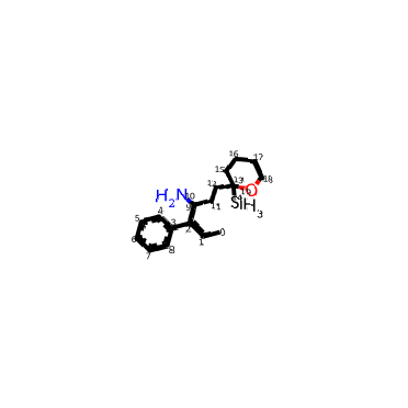 CC=C(c1ccccc1)C(N)CCC1([SiH3])CCCCO1